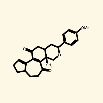 COc1ccc(C2CC3CC(=O)C4=C(C(=O)CCC5CCC=C45)C3(C)CO2)cc1